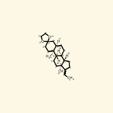 C/C=C1\CC[C@H]2[C@@H]3CC[C@@H]4CC5(CC[C@]4(C)[C@H]3CC[C@]12C)OCCO5